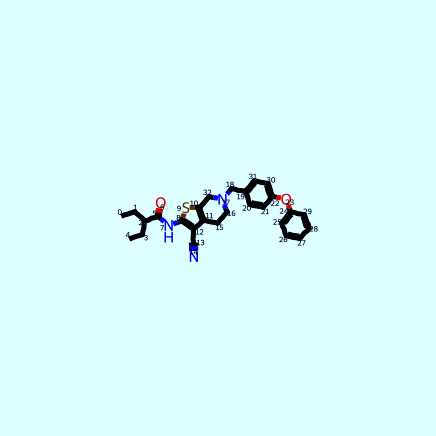 CCC(CC)C(=O)Nc1sc2c(c1C#N)CCN(Cc1ccc(Oc3ccccc3)cc1)C2